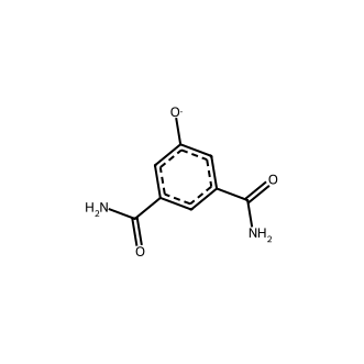 NC(=O)c1cc([O])cc(C(N)=O)c1